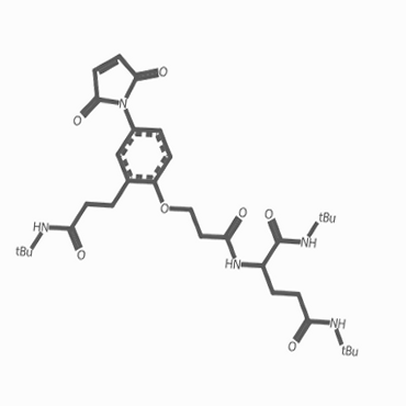 CC(C)(C)NC(=O)CCc1cc(N2C(=O)C=CC2=O)ccc1OCCC(=O)NC(CCC(=O)NC(C)(C)C)C(=O)NC(C)(C)C